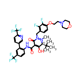 CN1[C@@H](C(C)(C)C)C(O)=C(C(=O)Nc2ccc(C(F)(F)F)cc2-c2ccc(C(F)(F)F)nc2)C(=O)N1Cc1ccc(OCCN2CCOCC2)c(F)c1F